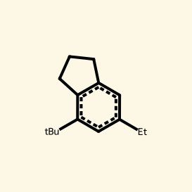 CCc1cc2c(c(C(C)(C)C)c1)CCC2